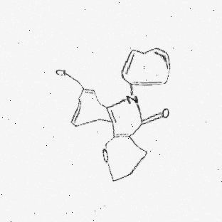 O=c1c2c(c3ccc(Cl)cc3n1-c1ccccc1)OCCC2